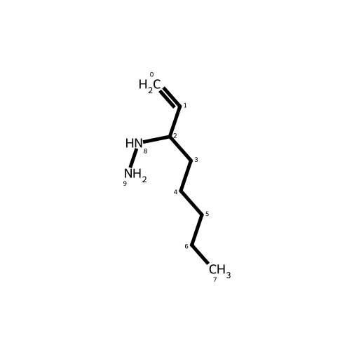 C=CC(CCCCC)NN